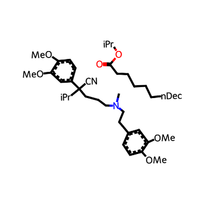 CCCCCCCCCCCCCCCC(=O)OC(C)C.COc1ccc(CCN(C)CCCC(C#N)(c2ccc(OC)c(OC)c2)C(C)C)cc1OC